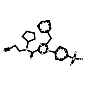 N#CCCN(C(=O)c1nc(Cc2ccccc2)n(-c2ccc(S(N)(=O)=O)cc2)n1)C1CCCC1